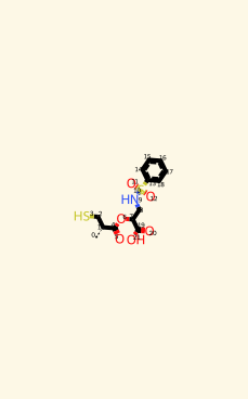 C[C@H](CS)C(=O)OC(CNS(=O)(=O)c1ccccc1)C(=O)O